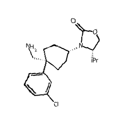 CC(C)[C@H]1COC(=O)N1[C@H]1CC[C@](CN)(c2cccc(Cl)c2)CC1